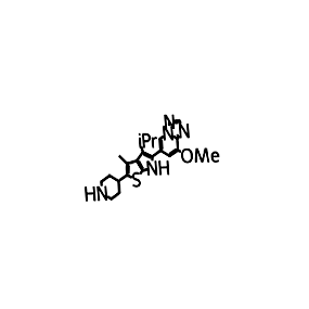 COc1cc(-c2[nH]c3sc(C4CCNCC4)c(C)c3c2C(C)C)cn2ncnc12